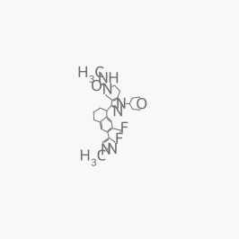 CNC(=O)N1CCc2c(c(C3CCCc4cc(-c5cnn(C)c5)c(C(F)F)cc43)nn2C2CCOCC2)C1